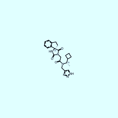 C[C@@H](C1CCC1)N(Cc1c[nH]nn1)C(=O)CN1C(=O)N[C@]2(CCc3ccccc32)C1=O